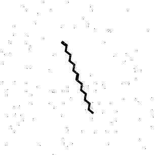 C=CCCCCCC=CCCCCCCC